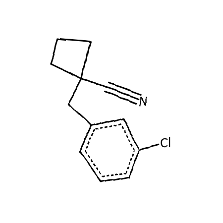 N#CC1(Cc2cccc(Cl)c2)CCC1